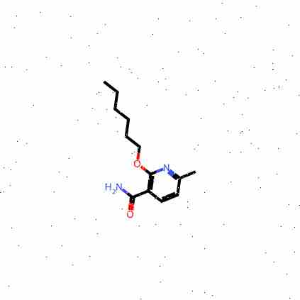 CCCCCCOc1nc(C)ccc1C(N)=O